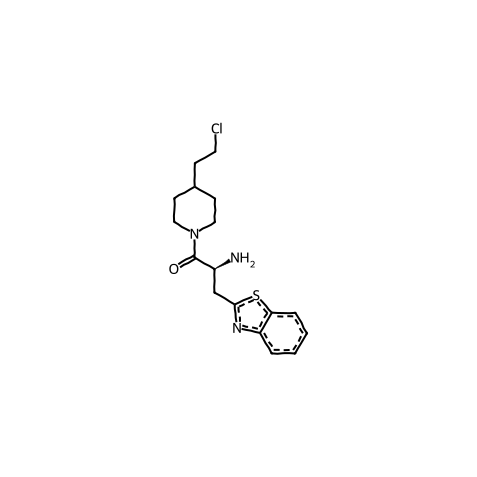 N[C@@H](Cc1nc2ccccc2s1)C(=O)N1CCC(CCCl)CC1